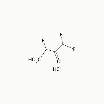 Cl.O=C(O)C(F)C(=O)C(F)F